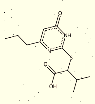 CCCc1cc(=O)[nH]c(SC(C(=O)O)C(C)C)n1